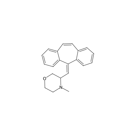 CN1CCOCC1C=C1c2ccccc2C=Cc2ccccc21